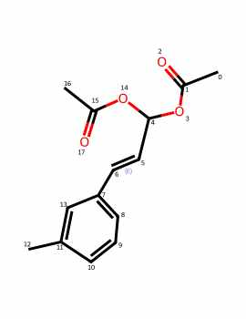 CC(=O)OC(/C=C/c1cccc(C)c1)OC(C)=O